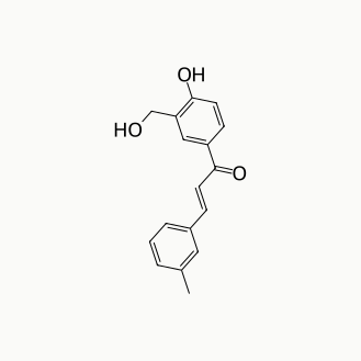 Cc1cccc(/C=C/C(=O)c2ccc(O)c(CO)c2)c1